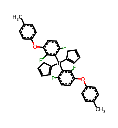 Cc1ccc(Oc2ccc(F)[c]([Ti]([C]3=CC=CC3)([C]3=CC=CC3)[c]3c(F)ccc(Oc4ccc(C)cc4)c3F)c2F)cc1